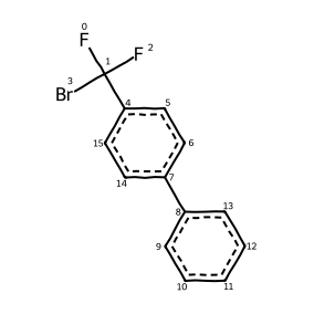 FC(F)(Br)c1ccc(-c2ccccc2)cc1